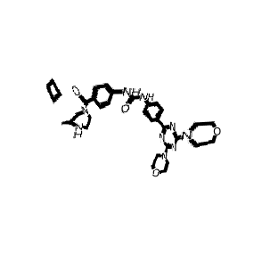 C1CCC1.CC1CN(C(=O)c2ccc(NC(=O)Nc3ccc(-c4nc(N5CCOCC5)nc(N5CCOCC5)n4)cc3)cc2)CCN1